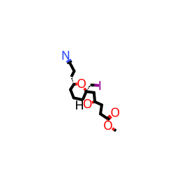 COC(=O)CCC1C[C@]2(CI)O[C@@H](CCC#N)CC[C@@H]2O1